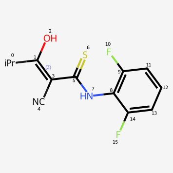 CC(C)/C(O)=C(\C#N)C(=S)Nc1c(F)cccc1F